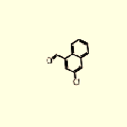 O=[C]c1cc(Cl)cc2ccccc12